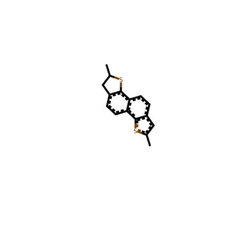 Cc1cc2ccc3c4c(ccc3c2s1)CC(C)S4